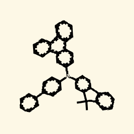 CC1(C)c2ccccc2-c2ccc(N(c3ccc(-c4ccccc4)cc3)c3ccc4c5ccccc5c5ccccc5c4c3)cc21